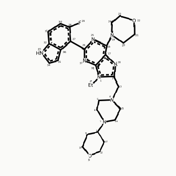 CCn1c(CN2CCN(C3CCOCC3)CC2)nc2c(N3CCOCC3)nc(-c3c(F)ccc4[nH]ccc34)nc21